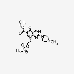 CCOC(=O)c1cn(CCOS(C)(=O)=O)c2nc(N3CCN(C)CC3)ncc2c1=O